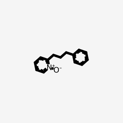 [O-][n+]1ccccc1CCCc1ccccc1